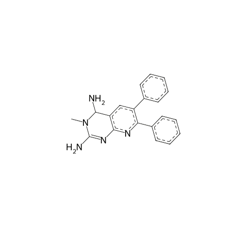 CN1C(N)=Nc2nc(-c3ccccc3)c(-c3ccccc3)cc2C1N